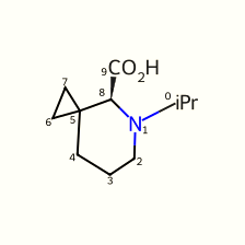 CC(C)N1CCCC2(CC2)[C@H]1C(=O)O